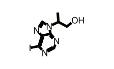 CC(CO)n1cnc2c(I)ncnc21